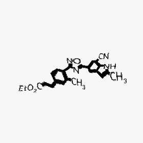 CCOC(=O)CCc1ccc(-c2noc(-c3cc(C#N)c4[nH]c(C)cc4c3)n2)c(C)c1